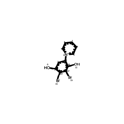 Oc1cc(-[n+]2ccccc2)c(O)c(Br)c1Br